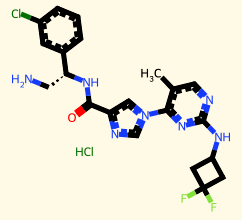 Cc1cnc(NC2CC(F)(F)C2)nc1-n1cnc(C(=O)N[C@H](CN)c2cccc(Cl)c2)c1.Cl